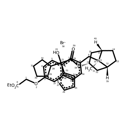 CCOC(=O)COc1ccc2cc(C[N@+]3(C)[C@@H]4CC[C@H]3C[C@@H](OC(=O)C(O)(c3cccs3)C3CCCC3)C4)ccc2c1.[Br-]